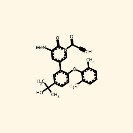 C#CC(=O)n1cc(-c2cc(C(C)(C)O)ccc2Oc2c(C)cccc2C)cc(NC)c1=O